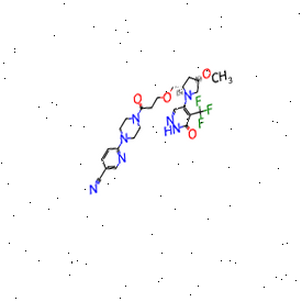 CO[C@H]1C[C@@H](COCCC(=O)N2CCN(c3ccc(C#N)cn3)CC2)N(c2cn[nH]c(=O)c2C(F)(F)F)C1